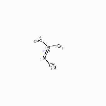 C/N=[N+](\[O-])C=O